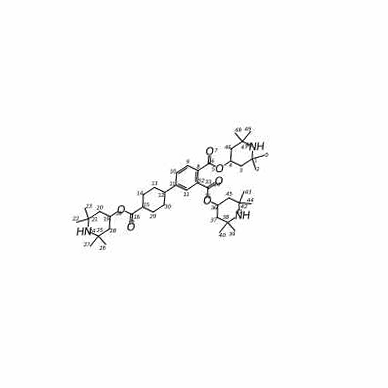 CC1(C)CC(OC(=O)c2ccc(C3CCC(C(=O)OC4CC(C)(C)NC(C)(C)C4)CC3)cc2C(=O)OC2CC(C)(C)NC(C)(C)C2)CC(C)(C)N1